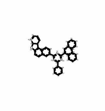 C1=CC2c3c(ccc4cc(-c5nc(-c6ccccc6)nc(-c6cc7ccccc7c7ccccc67)n5)ccc34)OC2N=C1